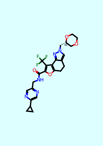 O=C(NCc1cnc(C2CC2)cn1)c1oc2c(c1C(F)(F)F)-c1nn(C[C@H]3COCCO3)cc1CC2